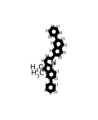 CC1(C)c2cc(-c3ccccc3)ccc2-c2nc(-c3ccc4ccc(-c5ccccc5)cc4c3)ccc21